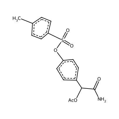 CC(=O)OC(C(N)=O)c1ccc(OS(=O)(=O)c2ccc(C)cc2)cc1